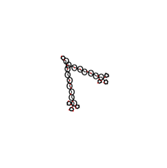 c1ccc(OCC(COCCOCCOCCOCCOCCOCCOC(c2ccccc2)(c2ccccc2)c2ccccc2)OCCOCCOCCOCCOCCOCCOC(c2ccccc2)(c2ccccc2)c2ccccc2)cc1